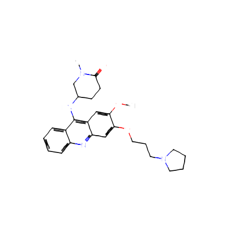 COc1cc2c(NC3CCC(=O)N(C)C3)c3ccccc3nc2cc1OCCCN1CCCC1